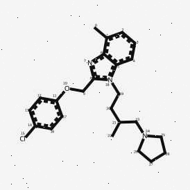 Cc1cccc2c1nc(COc1ccc(Cl)cc1)n2CCC(C)CN1CCCC1